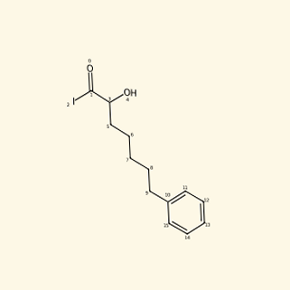 O=C(I)C(O)CCCCCc1ccccc1